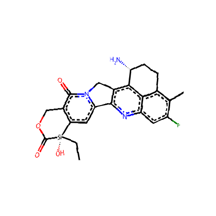 CC[Si@@]1(O)C(=O)OCc2c1cc1n(c2=O)Cc2c-1nc1cc(F)c(C)c3c1c2[C@H](N)CC3